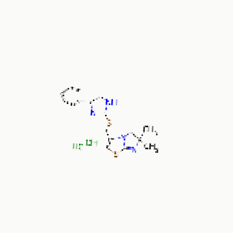 CC1(C)CN2C(CSC3=NC(c4ccccc4)CN3)=CSC2=N1.Cl.Cl